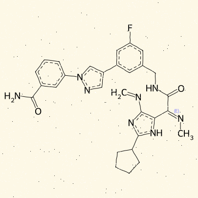 C=Nc1nc(C2CCCC2)[nH]c1/C(=N\C)C(=O)NCc1cc(F)cc(-c2cnn(-c3cccc(C(N)=O)c3)c2)c1